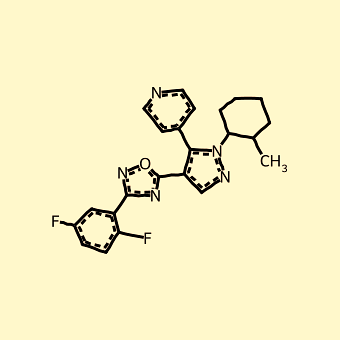 CC1CCCCC1n1ncc(-c2nc(-c3cc(F)ccc3F)no2)c1-c1ccncc1